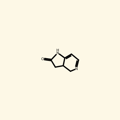 O=C1CC2CN=CC=C2N1